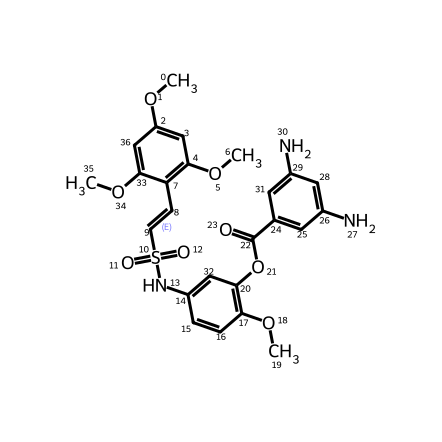 COc1cc(OC)c(/C=C/S(=O)(=O)Nc2ccc(OC)c(OC(=O)c3cc(N)cc(N)c3)c2)c(OC)c1